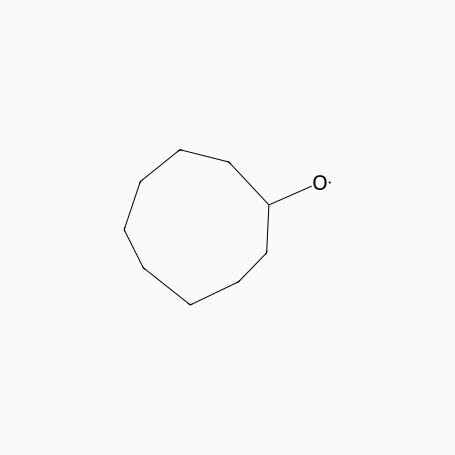 [O]C1CCCCCCCC1